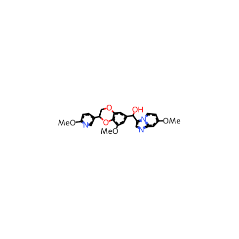 COc1ccn2c(C(O)c3cc(OC)c4c(c3)OCC(c3ccc(OC)nc3)O4)cnc2c1